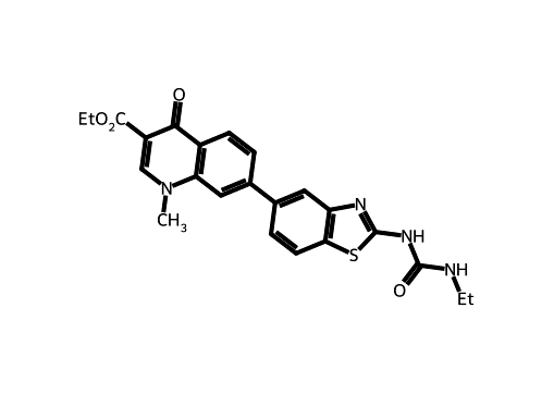 CCNC(=O)Nc1nc2cc(-c3ccc4c(=O)c(C(=O)OCC)cn(C)c4c3)ccc2s1